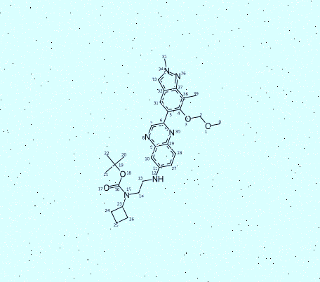 COCOc1c(-c2cnc3cc(NCCN(C(=O)OC(C)(C)C)C4CCC4)ccc3n2)cc2cn(C)nc2c1C